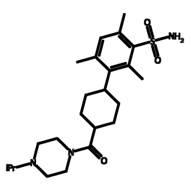 Cc1cc(C)c(S(N)(=O)=O)c(C)c1C1CCC(C(=O)N2CCN(C(C)C)CC2)CC1